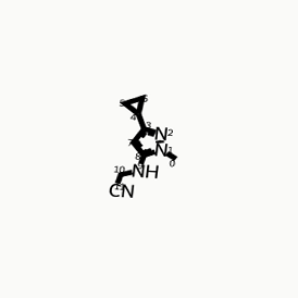 Cn1nc(C2CC2)cc1NCC#N